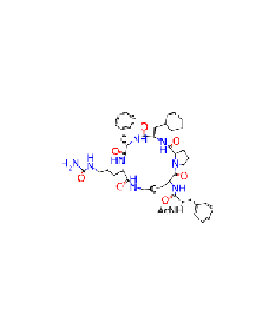 CC(=O)N[C@@H](Cc1ccccc1)C(=O)N[C@H]1CCCNC(=O)C(CCCNC(N)=O)NC(=O)C(Cc2ccccc2)NC(=O)[C@@H](CC2CCCCC2)NC(=O)C2CCCN2C1=O